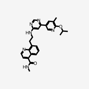 CNC(=O)c1ccnc2c(CCNc3cc(-c4cnc(OC(C)C)c(C)c4)ncn3)cccc12